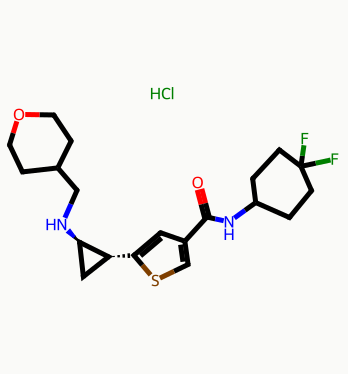 Cl.O=C(NC1CCC(F)(F)CC1)c1csc([C@@H]2C[C@H]2NCC2CCOCC2)c1